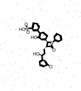 O=C1[C@H](CC[C@H](O)c2cccc(Cl)c2)[C@@H](c2ccc(-c3cccc(S(=O)(=O)O)c3)c(O)c2)N1c1ccccc1